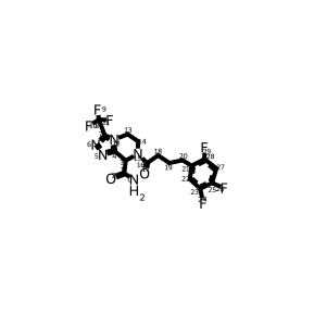 NC(=O)C1c2nnc(C(F)(F)F)n2CCN1C(=O)C[CH]Cc1cc(F)c(F)cc1F